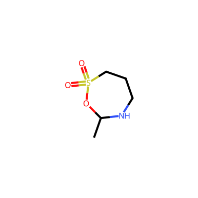 CC1NCCCS(=O)(=O)O1